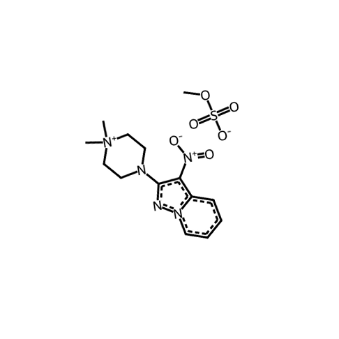 COS(=O)(=O)[O-].C[N+]1(C)CCN(c2nn3ccccc3c2[N+](=O)[O-])CC1